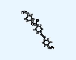 CCCc1ccc(C#Cc2ccc(C(=O)Oc3ccc(CCC)cc3)cc2)cc1